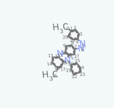 Cc1ccc(/N=N\c2ccc3nc4ccc(C)cc4[n+](-c4ccccc4)c3c2)cc1